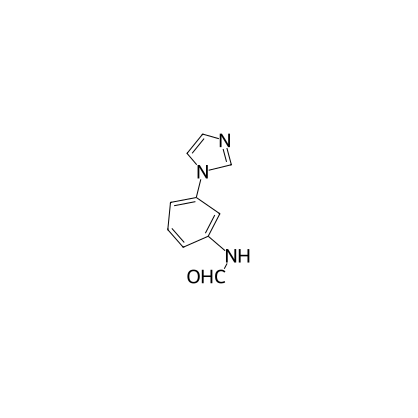 O=CNc1cccc(-n2ccnc2)c1